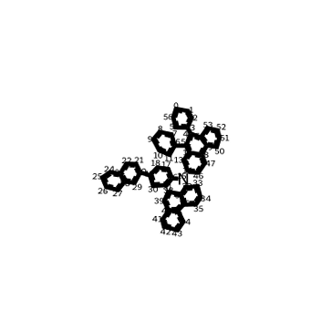 c1ccc(-c2c(-c3ccccc3)c3cc(N(c4ccc(-c5ccc6ccccc6c5)cc4)c4cccc5c4ccc4ccccc45)ccc3c3ccccc23)cc1